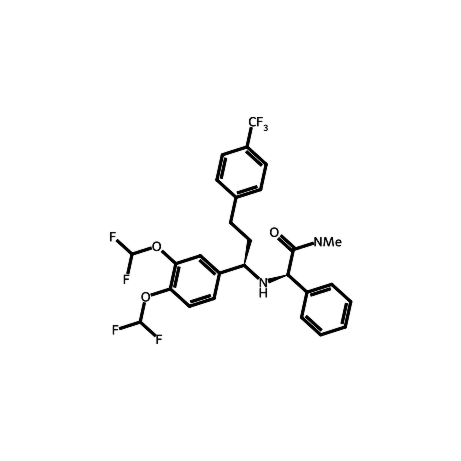 CNC(=O)[C@H](N[C@H](CCc1ccc(C(F)(F)F)cc1)c1ccc(OC(F)F)c(OC(F)F)c1)c1ccccc1